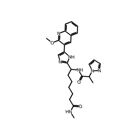 CNC(=O)CCCCCC(NC(=O)C(C)n1cccn1)c1ncc(-c2cc3ccccc3nc2OC)[nH]1